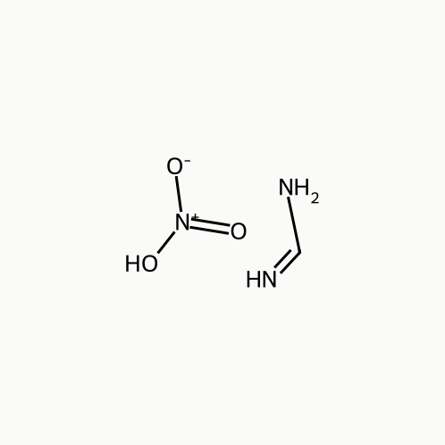 N=CN.O=[N+]([O-])O